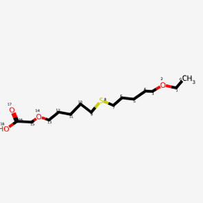 CCOCCCCCSCCCCCOCC(=O)O